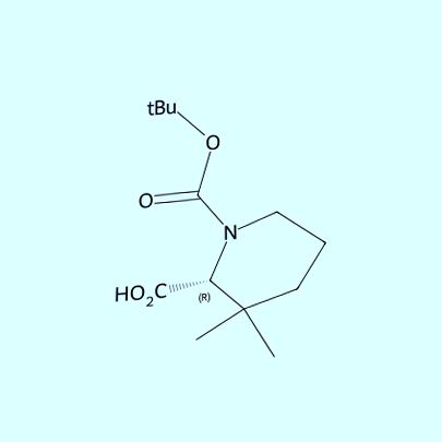 CC(C)(C)OC(=O)N1CCCC(C)(C)[C@@H]1C(=O)O